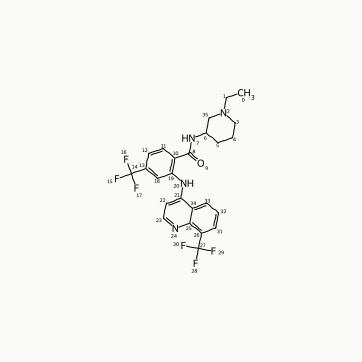 CCN1CCCC(NC(=O)c2ccc(C(F)(F)F)cc2Nc2ccnc3c(C(F)(F)F)cccc23)C1